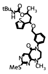 CSc1ncc2c(n1)N(C)CCN(c1cccc(COC(CC(C)OC(=O)NC(C)(C)C)c3cccs3)c1)C2=O